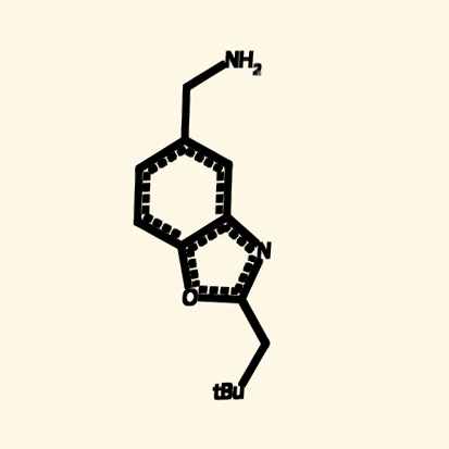 CC(C)(C)Cc1nc2cc(CN)ccc2o1